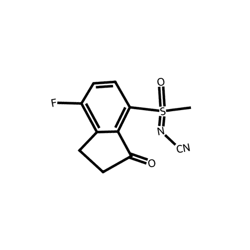 CS(=O)(=NC#N)c1ccc(F)c2c1C(=O)CC2